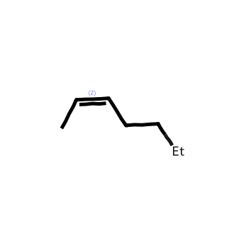 C/C=C\CCCC